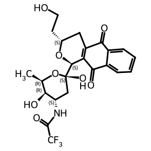 C[C@H]1O[C@](O)([C@H]2O[C@H](CCO)CC3=C2C(=O)c2ccccc2C3=O)C[C@H](NC(=O)C(F)(F)F)[C@H]1O